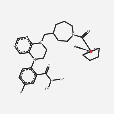 CCN(C(=O)c1cc(F)ccc1N1CCN(CC2CCCN(C(=O)[C@H]3NC4CCC3CC4)CC2)c2ncncc21)C(C)C